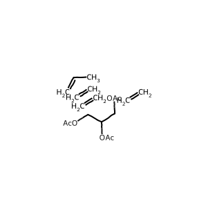 C=C.C=C.C=C.C=CC.CC(=O)OCC(COC(C)=O)OC(C)=O